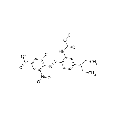 CCN(CC)c1ccc(N=Nc2c(Cl)cc([N+](=O)[O-])cc2[N+](=O)[O-])c(NC(=O)OC)c1